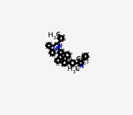 Cc1cccc(-c2cc(-c3ccccc3-c3ccccc3)nc(-c3ccc4c(c3)-c3ccccc3C43c4ccccc4-c4c(-c5ccc(-c6c(C)ncc(-c7ccccc7)c6C)cc5)cccc43)n2)c1